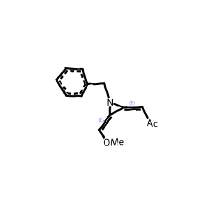 CO/C=C1\C(=C/C(C)=O)N1Cc1ccccc1